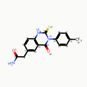 NC(=O)Cc1ccc2[nH]c(=S)n(-c3ccc(C(F)(F)F)cc3)c(=O)c2c1